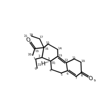 CCC1[C@@H]2CCC3=CC(=O)CCC3=C2CCC1(CC)C(C)=O